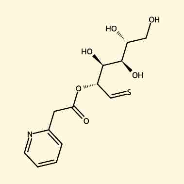 O=C(Cc1ccccn1)O[C@@H](C=S)[C@@H](O)[C@H](O)[C@H](O)CO